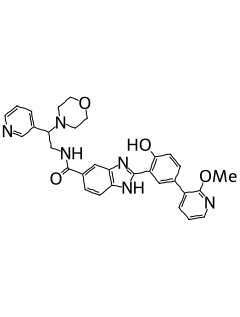 COc1ncccc1-c1ccc(O)c(-c2nc3cc(C(=O)NCC(c4cccnc4)N4CCOCC4)ccc3[nH]2)c1